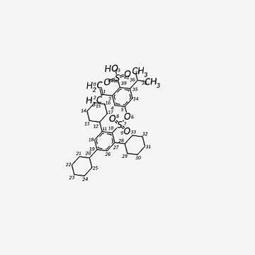 C=C(C)c1cc(OS(=O)(=O)c2c(C3CCCCC3)cc(C3CCCCC3)cc2C2CCCCC2)cc(C(C)C)c1S(=O)(=O)O